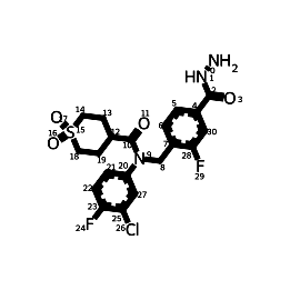 NNC(=O)c1ccc(CN(C(=O)C2CCS(=O)(=O)CC2)c2ccc(F)c(Cl)c2)c(F)c1